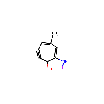 CC1=CC#CC(O)C(NI)=C1